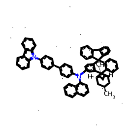 C[C@H]1C[C@@H]2C[C@@H](C)C[C@H](C1)C21c2ccccc2C2(c3ccccc3-c3ccccc32)c2ccc(N(c3ccc(-c4ccc(-n5c6ccccc6c6ccccc65)cc4)cc3)c3cccc4ccccc34)cc21